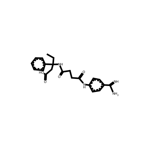 CCC(CC(=O)O)(NC(=O)CCC(=O)Nc1ccc(C(=N)N)cc1)c1ccccc1